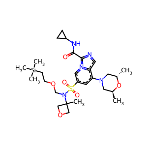 C[C@H]1CN(c2cc(S(=O)(=O)N(COCC[Si](C)(C)C)C3(C)COC3)cn3c(C(=O)NC4CC4)ncc23)C[C@H](C)O1